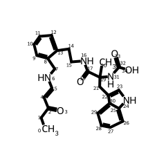 CCC(=O)C=CNCc1ccccc1CCNC(=O)C(C)(Cc1c[nH]c2ccccc12)NC(=O)O